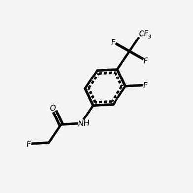 O=C(CF)Nc1ccc(C(F)(F)C(F)(F)F)c(F)c1